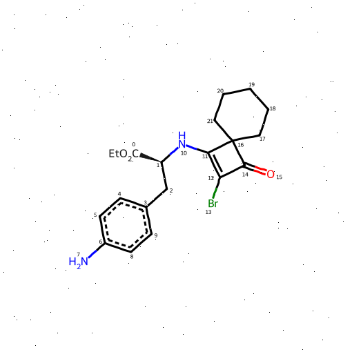 CCOC(=O)[C@H](Cc1ccc(N)cc1)NC1=C(Br)C(=O)C12CCCCC2